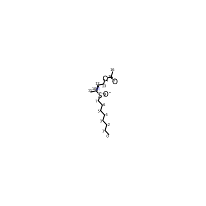 CCCCCCCC[S+]([O-])/C(C)=C\COC(C)=O